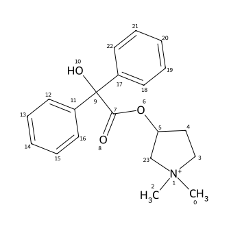 C[N+]1(C)CCC(OC(=O)C(O)(c2ccccc2)c2ccccc2)C1